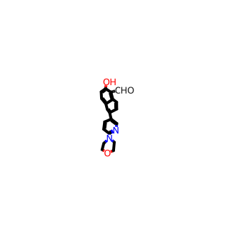 O=Cc1c(O)ccc2cc(-c3ccc(N4CCOCC4)nc3)ccc12